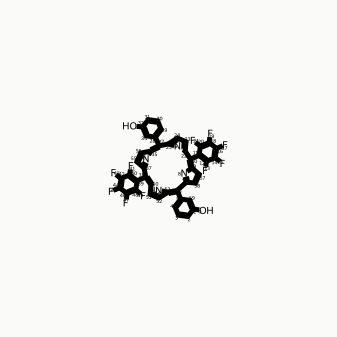 Oc1cccc(-c2c3nc(c(-c4c(F)c(F)c(F)c(F)c4F)c4ccc([nH]4)c(-c4cccc(O)c4)c4nc(c(-c5c(F)c(F)c(F)c(F)c5F)c5ccc2[nH]5)C=C4)C=C3)c1